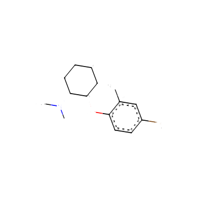 CC(C)(C)N(C(=O)O)[C@@H]1CCCC[C@@H]1Oc1ccc(Br)cc1C#N